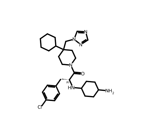 NC1CCC(N[C@H](Cc2ccc(Cl)cc2)C(=O)N2CCC(Cn3cncn3)(C3CCCCC3)CC2)CC1